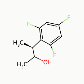 CC(O)[C@@H](C)c1c(F)cc(F)cc1F